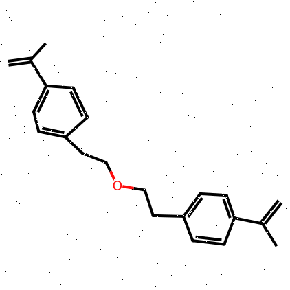 C=C(C)c1ccc(CCOCCc2ccc(C(=C)C)cc2)cc1